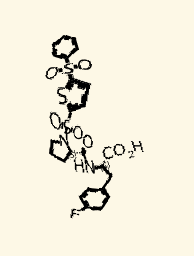 O=C(O)[C@H](Cc1ccc(F)cc1)NC(=O)[C@@H]1CCCN1S(=O)(=O)c1ccc(S(=O)(=O)c2ccccc2)s1